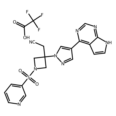 N#CCC1(n2cc(-c3ncnc4[nH]ccc34)cn2)CN(S(=O)(=O)c2cccnc2)C1.O=C(O)C(F)(F)F